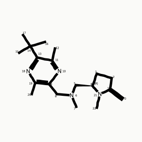 C=C1CC[C@H](CN(C)Cc2nc(C)c(C(C)(C)C)nc2C)N1C